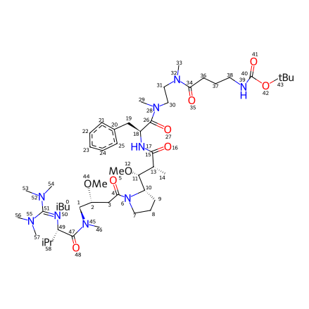 CC[C@H](C)[C@@H]([C@@H](CC(=O)N1CCC[C@H]1[C@H](OC)[C@@H](C)C(=O)N[C@@H](Cc1ccccc1)C(=O)N(C)CCN(C)C(=O)CCCNC(=O)OC(C)(C)C)OC)N(C)C(=O)[C@@H](N=C(N(C)C)N(C)C)C(C)C